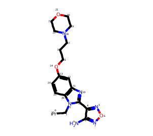 CC(C)Cn1c(-c2nonc2N)nc2cc(OCCCN3CCOCC3)ccc21